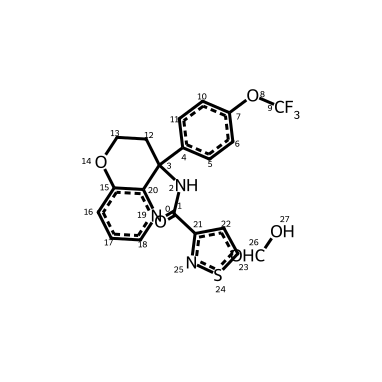 O=C(NC1(c2ccc(OC(F)(F)F)cc2)CCOc2cccnc21)c1ccsn1.O=CO